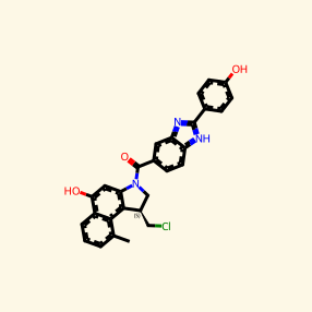 Cc1cccc2c(O)cc3c(c12)[C@H](CCl)CN3C(=O)c1ccc2[nH]c(-c3ccc(O)cc3)nc2c1